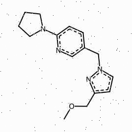 COCc1ccn(Cc2ccc(N3CCCC3)nc2)n1